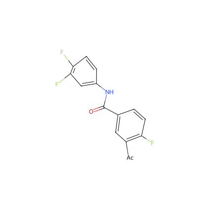 CC(=O)c1cc(C(=O)Nc2ccc(F)c(F)c2)ccc1F